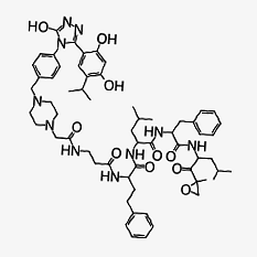 CC(C)CC(NC(=O)C(CCc1ccccc1)NC(=O)CCNC(=O)CN1CCN(Cc2ccc(-n3c(O)nnc3-c3cc(C(C)C)c(O)cc3O)cc2)CC1)C(=O)NC(Cc1ccccc1)C(=O)NC(CC(C)C)C(=O)C1(C)CO1